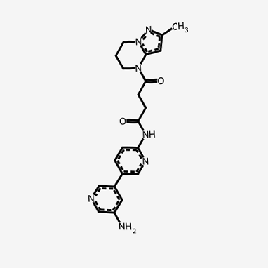 Cc1cc2n(n1)CCCN2C(=O)CCC(=O)Nc1ccc(-c2cncc(N)c2)cn1